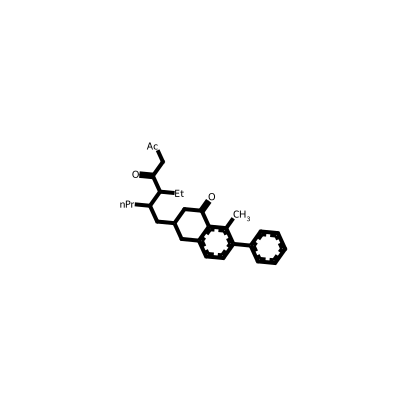 CCCC(CC1CC(=O)c2c(ccc(-c3ccccc3)c2C)C1)C(CC)C(=O)CC(C)=O